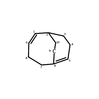 C1=CC2CCC=C(CC1)CC2